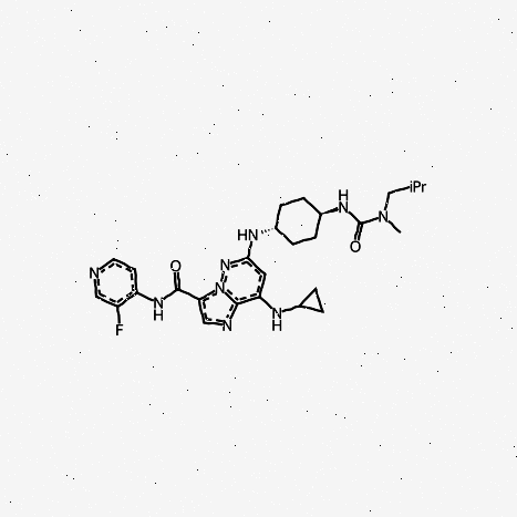 CC(C)CN(C)C(=O)N[C@H]1CC[C@H](Nc2cc(NC3CC3)c3ncc(C(=O)Nc4ccncc4F)n3n2)CC1